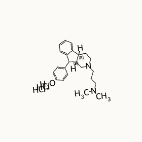 CN(C)CCCN1CC[C@H]2c3ccccc3C(c3ccccc3)[C@H]2C1.Cl.Cl.O